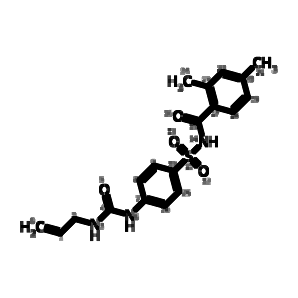 C=CCNC(=O)Nc1ccc(S(=O)(=O)NC(=O)c2ccc(C)cc2C)cc1